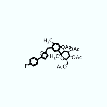 CC(=O)OC[C@H]1O[C@](C)(c2ccc(C)c(Cc3ccc(-c4ccc(F)cc4)s3)c2)[C@H](OC(C)=O)[C@@H](OC(C)=O)[C@@H]1OC(C)=O